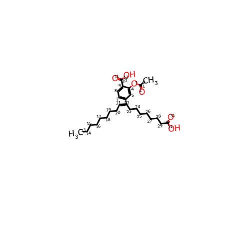 CC(=O)Oc1ccccc1C(=O)O.CCCCCCCC/C=C\CCCCCCCC(=O)O